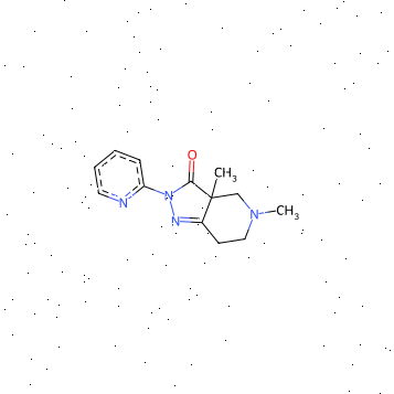 CN1CCC2=NN(c3ccccn3)C(=O)C2(C)C1